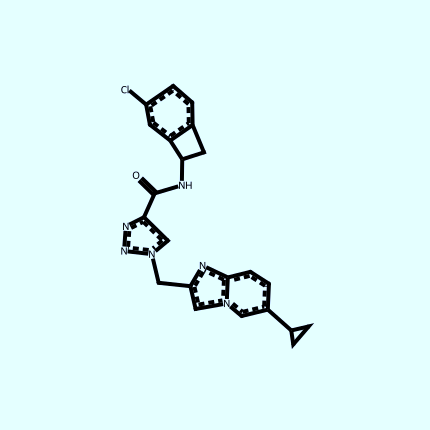 O=C(NC1Cc2ccc(Cl)cc21)c1cn(Cc2cn3cc(C4CC4)ccc3n2)nn1